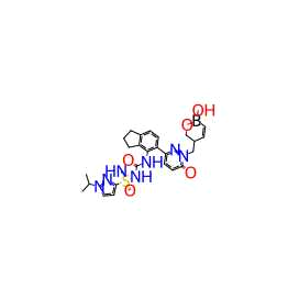 CC(C)n1ccc(S(=N)(=O)NC(=O)Nc2c(-c3ccc(=O)n(CC4C=CB(O)OC4)n3)ccc3c2CCC3)n1